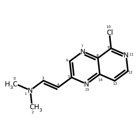 CN(C)/C=C/c1cnc2c(Cl)nccc2n1